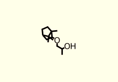 CC(O)COC1CC2CCC1(C)C2(C)C